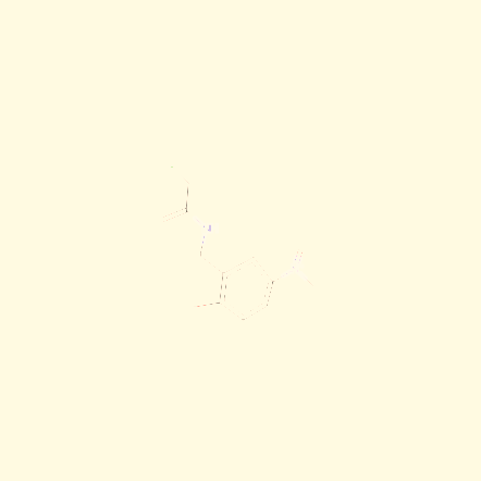 O=C(CCl)NCc1cc([N+](=O)[O-])ccc1O